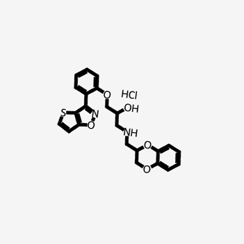 Cl.OC(CNCC1COc2ccccc2O1)COc1ccccc1-c1noc2ccsc12